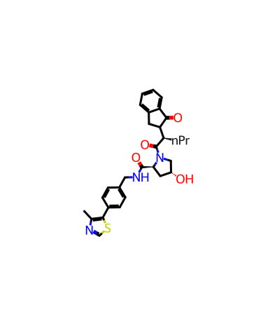 CCC[C@@H](C(=O)N1C[C@H](O)C[C@H]1C(=O)NCc1ccc(-c2scnc2C)cc1)C1Cc2ccccc2C1=O